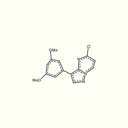 COc1cc(OC)cc(-c2cnn3ccc(Cl)nc23)c1